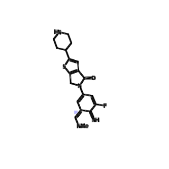 CN/C=C1/C=C(N2Cc3sc(C4CCNCC4)cc3C2=O)C=C(F)C1=N